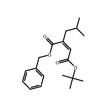 CC(C)CC(=CC(=O)OC(C)(C)C)C(=O)OCc1ccccc1